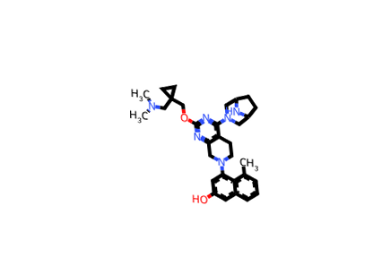 Cc1cccc2cc(O)cc(N3CCc4c(nc(OCC5(CN(C)C)CC5)nc4N4CC5CCC(C4)N5)C3)c12